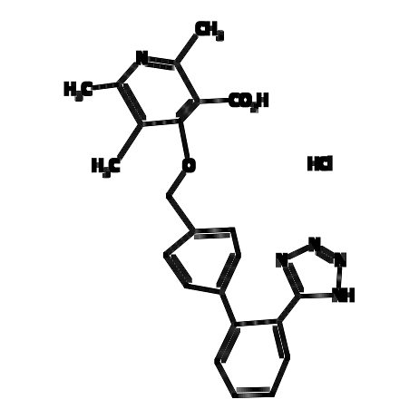 Cc1nc(C)c(C(=O)O)c(OCc2ccc(-c3ccccc3-c3nnn[nH]3)cc2)c1C.Cl